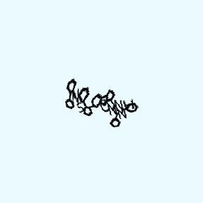 c1ccc(C2=NC(c3ccccc3)NC(c3cccc4c3oc3cc(-c5cccc6sc7c(-n8c9ccccc9c9ccccc98)cccc7c56)ccc34)=N2)cc1